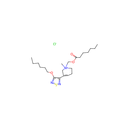 CCCCCCOc1nsnc1C1=CCC[N+](C)(COC(=O)CCCCCC)C1.[Cl-]